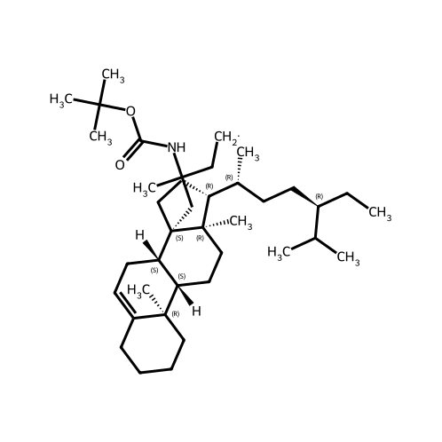 [CH2]CC(C)(C[C@]12CC[C@H]([C@H](C)CC[C@@H](CC)C(C)C)[C@@]1(C)CC[C@H]1[C@@H]2CC=C2CCCC[C@@]21C)NC(=O)OC(C)(C)C